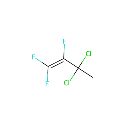 CC(Cl)(Cl)C(F)=C(F)F